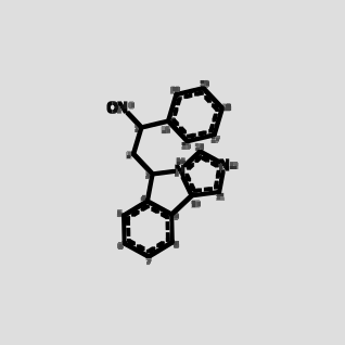 O=NC(CC1c2ccccc2-c2cncn21)c1ccccc1